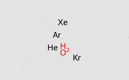 O.[Ar].[He].[Kr].[Xe]